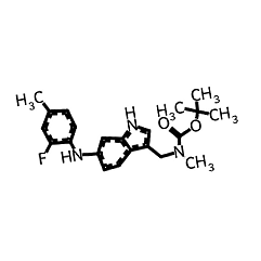 Cc1ccc(Nc2ccc3c(CN(C)C(=O)OC(C)(C)C)c[nH]c3c2)c(F)c1